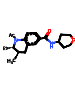 CC[C@H]1[C@H](C)Cc2cc(C(=O)NC3CCOCC3)ccc2N1C(C)=O